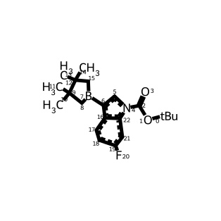 CC(C)(C)OC(=O)n1cc(B2CC(C)(C)C(C)(C)C2)c2ccc(F)cc21